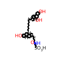 C[C@H](CCC(=O)NCCS(=O)(=O)O)[C@H]1CCC2[C@@H]3[C@@H](CCCCCCCC[C@@H](C)[C@H]4CCC5[C@@H]6[C@@H](O)CC7C[C@H](O)CC[C@]7(C)[C@H]6CC[C@@]54C)CC4C[C@H](O)CC[C@]4(C)[C@H]3CC[C@@]21C